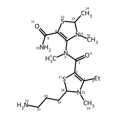 CCC1=C(C(=O)N(C)C2=C(C(N)=O)SC(C)N2C)SC(CCCN)N1C